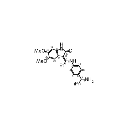 CC/C(Nc1ccc(C(N)C(C)C)cc1)=C1/C(=O)Nc2cc(OC)c(OC)cc21